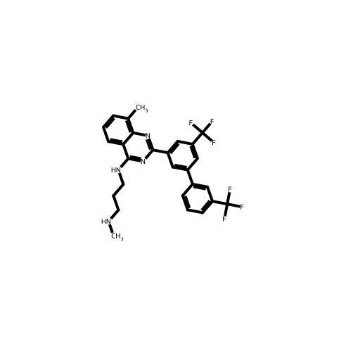 CNCCCNc1nc(-c2cc(-c3cccc(C(F)(F)F)c3)cc(C(F)(F)F)c2)nc2c(C)cccc12